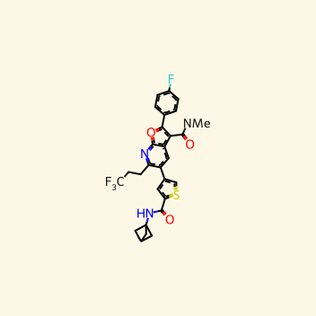 CNC(=O)c1c(-c2ccc(F)cc2)oc2nc(CCC(F)(F)F)c(-c3csc(C(=O)NC45CC(C4)C5)c3)cc12